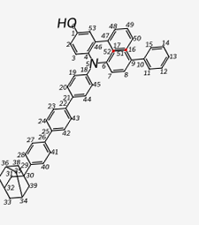 Oc1ccc(N(c2ccc(-c3ccccc3)cc2)c2ccc(-c3ccc(-c4ccc(C56CC7CC(CC(C7)C5)C6)cc4)cc3)cc2)c(-c2ccccc2)c1